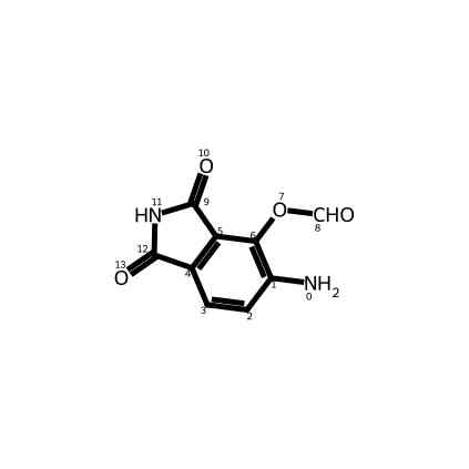 Nc1ccc2c(c1OC=O)C(=O)NC2=O